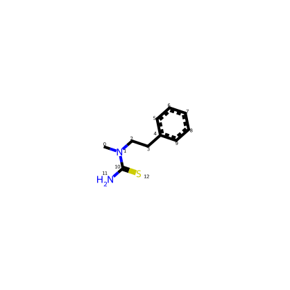 CN(CCc1ccccc1)C(N)=S